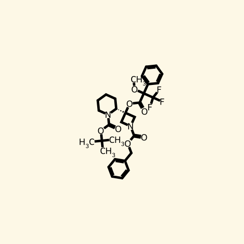 COC(C(=O)OC1([C@H]2CCCCN2C(=O)OC(C)(C)C)CN(C(=O)OCc2ccccc2)C1)(c1ccccc1)C(F)(F)F